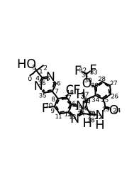 CC(C)(O)c1ncc(-c2c(F)cc3nc4n(c3c2C(F)(F)F)[C@@H]2C[C@H]4NC(=O)c3cccc(OC(F)F)c32)cn1